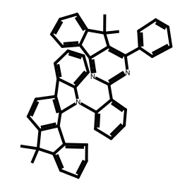 CC1(C)c2ccccc2-c2c1ccc1c3ccccc3n(-c3ccccc3-c3nc(-c4ccccc4)c4c(n3)-c3ccccc3C4(C)C)c21